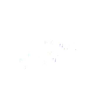 C/C(=N/OC1CC1)c1cnc(SCCC(F)=C(F)F)s1